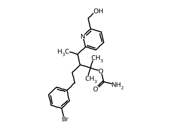 CC(c1cccc(CO)n1)C(CCc1cccc(Br)c1)C(C)(C)OC(N)=O